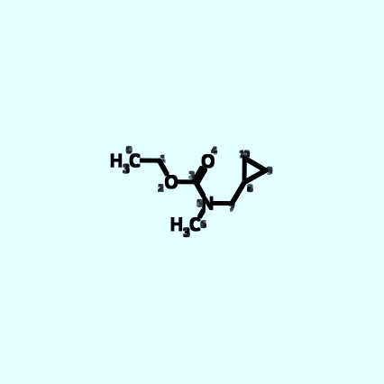 CCOC(=O)N(C)CC1CC1